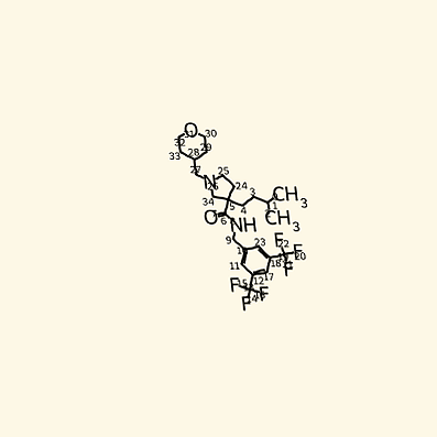 CC(C)CCC1(C(=O)NCc2cc(C(F)(F)F)cc(C(F)(F)F)c2)CCN(CC2CCOCC2)C1